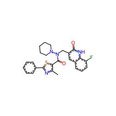 Cc1nc(-c2ccccc2)sc1C(=O)N(Cc1cc2cccc(F)c2[nH]c1=O)N1CCCCC1